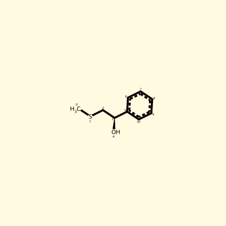 CSC[C@H](O)c1ccccc1